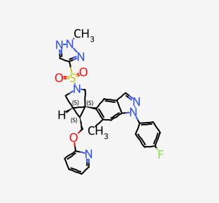 Cc1cc2c(cnn2-c2ccc(F)cc2)cc1[C@]12CN(S(=O)(=O)c3cnn(C)n3)C[C@H]1[C@@H]2COc1ccccn1